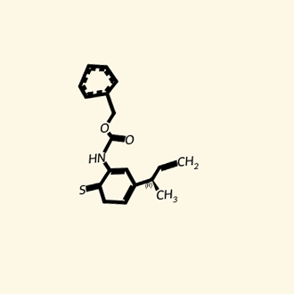 C=C[C@@H](C)C1=CCC(=S)C(NC(=O)OCc2ccccc2)=C1